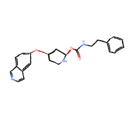 O=C(NCCc1ccccc1)O[C@@H]1C[C@H](Oc2ccc3cnccc3c2)CCN1